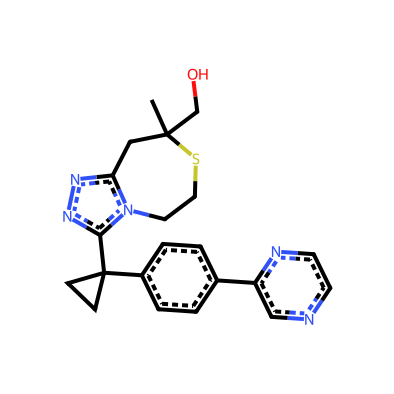 CC1(CO)Cc2nnc(C3(c4ccc(-c5cnccn5)cc4)CC3)n2CCS1